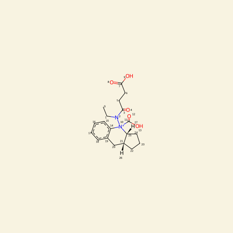 CCN(C(=O)CCC(=O)O)[N+]1(C(=O)O)c2ccccc2C[C@H]2CCC[C@H]21